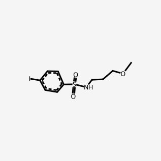 COCCCNS(=O)(=O)c1ccc(I)cc1